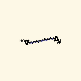 CC(=O)O[C@@H]1CC(C)=C(/C=C/C(C)=C/C=C/C(C)=C/C=C/C=C(C)/C=C/C=C(C)/C=C/C2=C(C)C[C@H](O)CC2(C)C)C(C)(C)C1